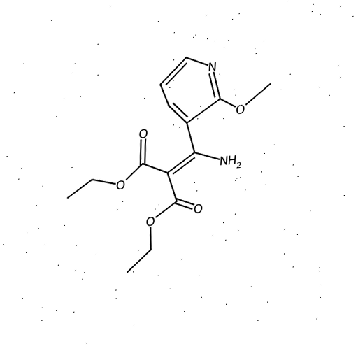 CCOC(=O)C(C(=O)OCC)=C(N)c1cccnc1OC